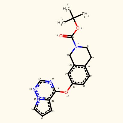 CC(C)(C)OC(=O)N1CCc2ccc(Oc3ncnn4cccc34)cc2C1